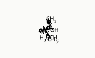 Cc1ccc(Oc2cc3nc(-c4ccccn4)n(COCC[Si](C)(C)C)c3cc2CO)cn1